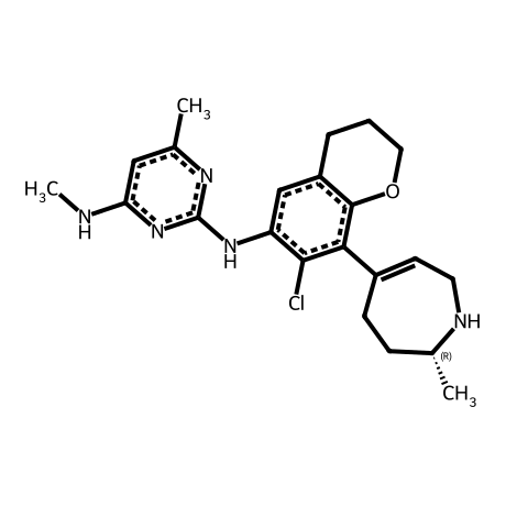 CNc1cc(C)nc(Nc2cc3c(c(C4=CCN[C@H](C)CC4)c2Cl)OCCC3)n1